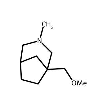 COCC12CCC(CN(C)C1)C2